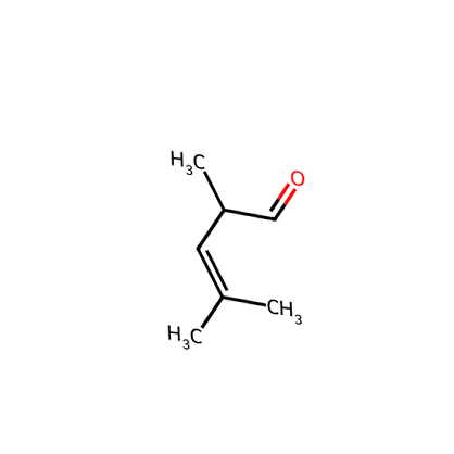 CC(C)=CC(C)C=O